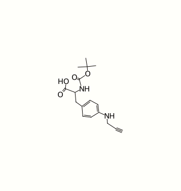 C#CCNc1ccc(CC(NC(=O)OC(C)(C)C)C(=O)O)cc1